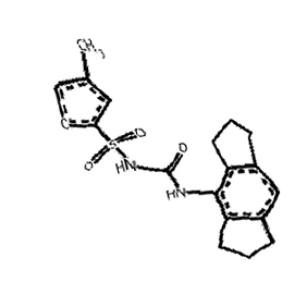 Cc1coc(S(=O)(=O)NC(=O)Nc2c3c(cc4c2CCC4)CCC3)c1